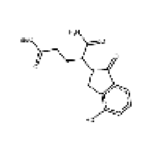 CC(C)COC(=O)CC[C@@H](C(N)=O)N1Cc2c(O)cccc2C1=O